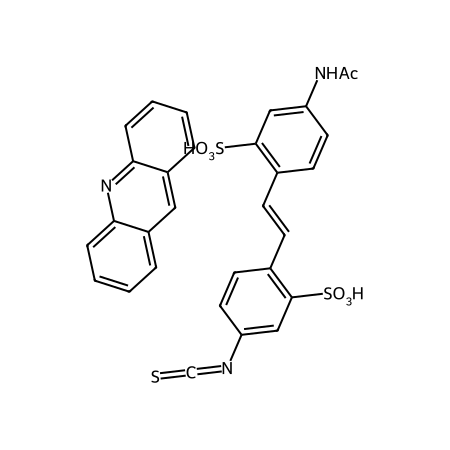 CC(=O)Nc1ccc(/C=C/c2ccc(N=C=S)cc2S(=O)(=O)O)c(S(=O)(=O)O)c1.c1ccc2nc3ccccc3cc2c1